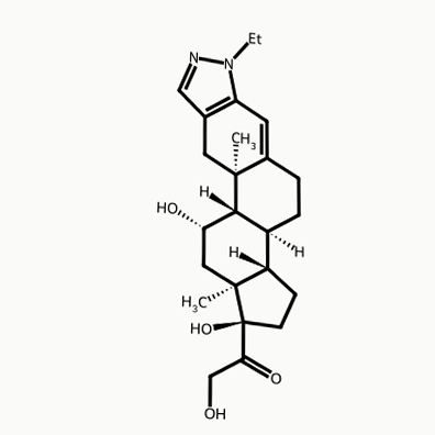 CCn1ncc2c1C=C1CC[C@@H]3[C@H]([C@@H](O)C[C@@]4(C)[C@H]3CC[C@]4(O)C(=O)CO)[C@@]1(C)C2